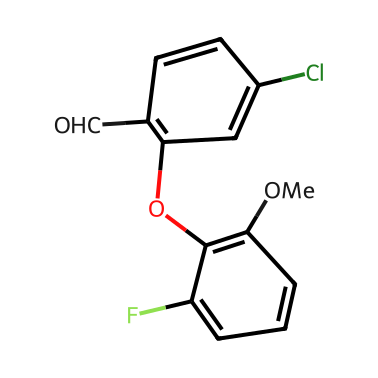 COc1cccc(F)c1Oc1cc(Cl)ccc1C=O